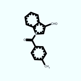 Cc1ccc(C(=O)n2cc(C=O)c3ccccc32)cc1